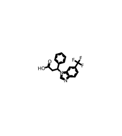 O=C(O)CC(c1ccccc1)n1cnc2ccc(C(F)(F)F)cc21